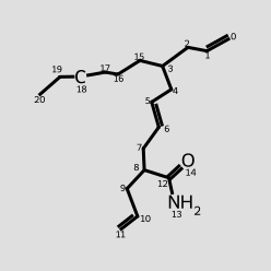 C=CCC(CC=CCC(CC=C)C(N)=O)CCCCCC